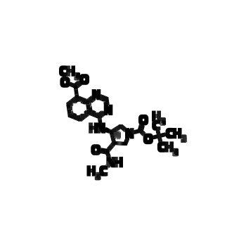 CNC(=O)C1CN(C(=O)OC(C)(C)C)C[C@@H]1Nc1ncnc2c(C(=O)OC)cccc12